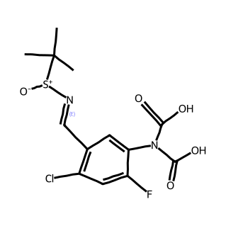 CC(C)(C)[S+]([O-])/N=C/c1cc(N(C(=O)O)C(=O)O)c(F)cc1Cl